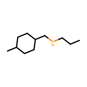 CCCPCC1CCC(C)CC1